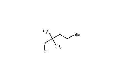 CCCCCCC(C)(C)OCl